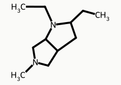 CCC1CC2CN(C)CC2N1CC